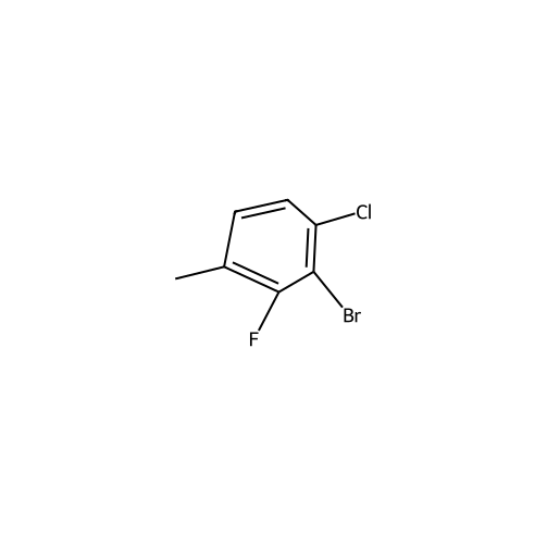 Cc1ccc(Cl)c(Br)c1F